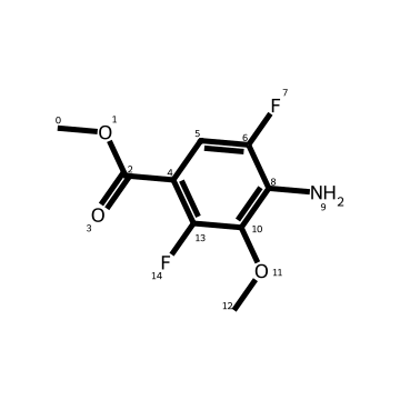 COC(=O)c1cc(F)c(N)c(OC)c1F